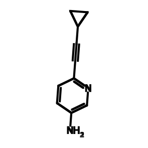 Nc1ccc(C#CC2CC2)nc1